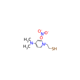 CN(C)c1cc[n+](CCS)cc1.O=[N+]([O-])[O-]